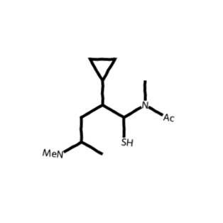 CNC(C)CC(C1CC1)C(S)N(C)C(C)=O